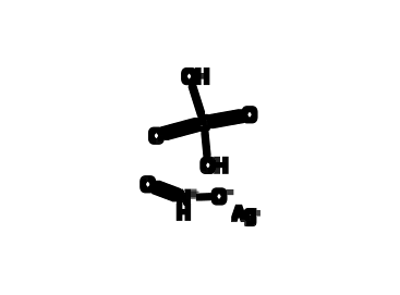 O=S(=O)(O)O.O=[NH+][O-].[Ag]